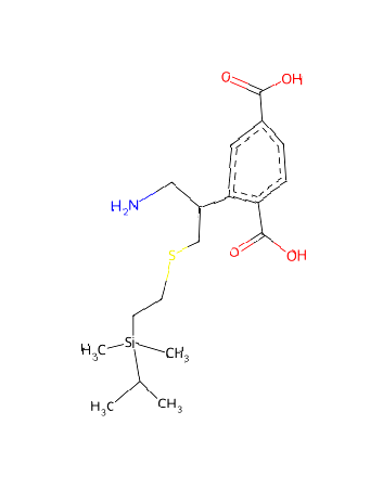 CC(C)[Si](C)(C)CCSCC(CN)c1cc(C(=O)O)ccc1C(=O)O